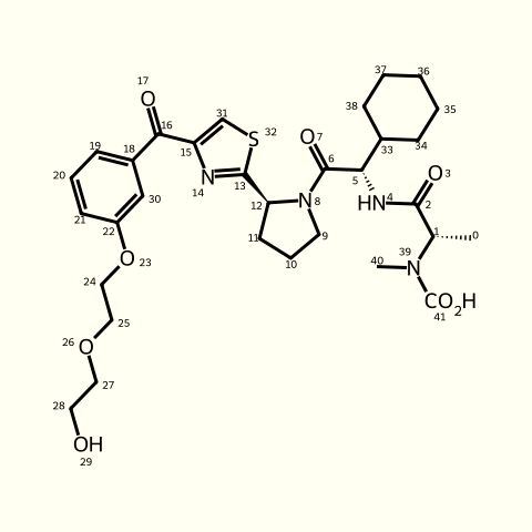 C[C@@H](C(=O)N[C@H](C(=O)N1CCC[C@H]1c1nc(C(=O)c2cccc(OCCOCCO)c2)cs1)C1CCCCC1)N(C)C(=O)O